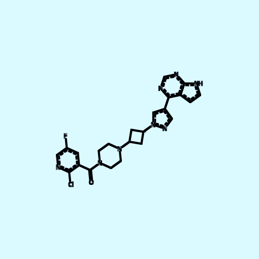 O=C(c1cc(F)cnc1Cl)N1CCN(C2C[C](n3cc(-c4ncnc5[nH]ccc45)cn3)C2)CC1